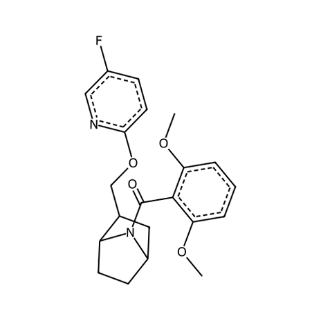 COc1cccc(OC)c1C(=O)N1C2CCC1C(COc1ccc(F)cn1)C2